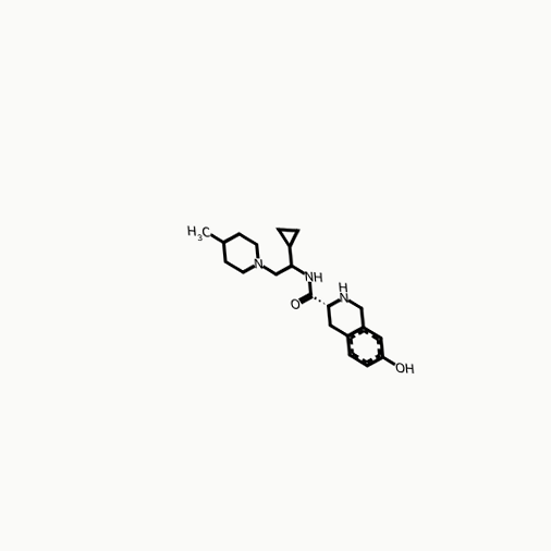 CC1CCN(CC(NC(=O)[C@H]2Cc3ccc(O)cc3CN2)C2CC2)CC1